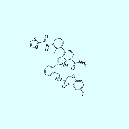 CC1=C(NC(=O)c2nccs2)CCC=C1c1ccc(C(N)=O)c2[nH]c(-c3ccccc3CNC3(COc4ccc(F)cc4)CO3)cc12